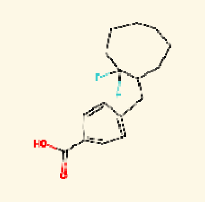 O=C(O)c1ccc(CC2CCCCCCC2(F)F)cc1